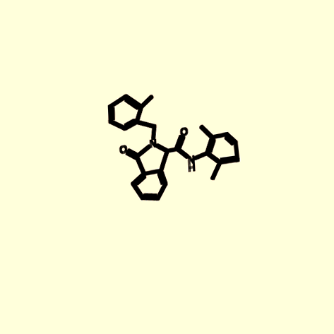 Cc1ccccc1CN1C(=O)c2ccccc2C1C(=O)Nc1c(C)cccc1C